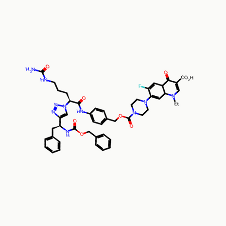 CCN1C=C(C(=O)O)C(=O)C2C=C(F)C(N3CCN(C(=O)OCc4ccc(NC(=O)[C@H](CCCNC(N)=O)n5cc([C@H](Cc6ccccc6)NC(=O)OCc6ccccc6)nn5)cc4)CC3)=CC21